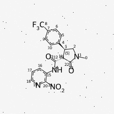 CN1C[C@H](c2ccc(C(F)(F)F)cc2)[C@@H](C(=O)Nc2cccnc2[N+](=O)[O-])C1=O